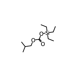 CC[Si](CC)(CC)OC(=O)OCC(C)C